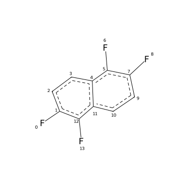 Fc1ccc2c(F)c(F)ccc2c1F